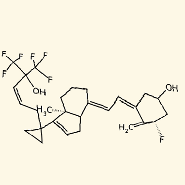 C=C1/C(=C\C=C2/CCC[C@]3(C)C(C4(C/C=C\C(O)(C(F)(F)F)C(F)(F)F)CC4)=CCC23)CC(O)C[C@@H]1F